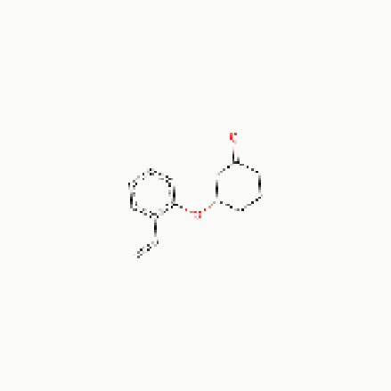 C=Cc1ccccc1OC1CCCC(=O)C1